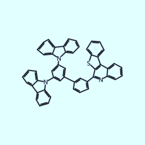 c1cc(-c2cc(-n3c4ccccc4c4ccccc43)cc(-n3c4ccccc4c4ccccc43)c2)cc(-c2nc3ccccc3c3c2sc2ccccc23)c1